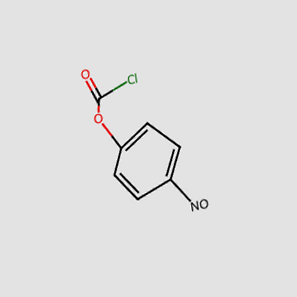 O=Nc1ccc(OC(=O)Cl)cc1